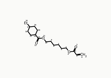 C=CC(=O)OCCCCCCOC(=O)C1CCC(CC)CC1